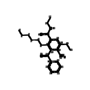 CCCCCCc1c(C(=O)OCC)cc(CC)c(N)c1C(=O)c1ccccc1